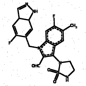 Cc1cc2c(N3CCNS3(=O)=O)c(C=O)n(CC3=CC4NN=CC4C=C3F)c2cc1F